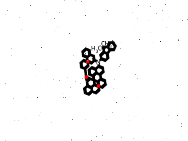 CC1(C)c2ccccc2-c2ccc(N(c3ccc4ccccc4c3)c3ccc4c5c(cccc35)C3(c5cc(-c6ccccc6)ccc5-c5cccc6cccc3c56)c3ccccc3-4)cc21